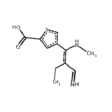 CC/C(C=N)=C(/NC)c1csc(C(=O)O)c1